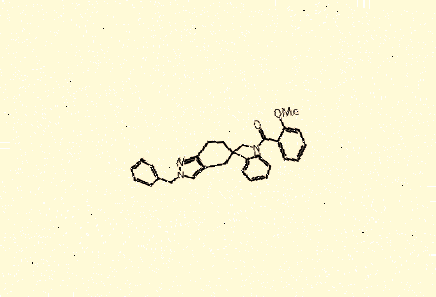 COc1ccccc1C(=O)NCC1(c2ccccc2)CCc2nn(Cc3ccccc3)cc2C1